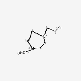 O=CN1CCN(CCCl)CC1